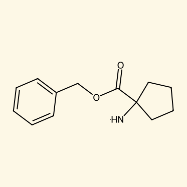 [NH]C1(C(=O)OCc2ccccc2)CCCC1